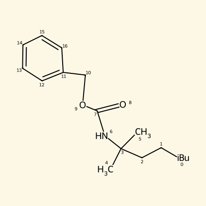 CCC(C)CCC(C)(C)NC(=O)OCc1ccccc1